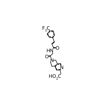 O=C(O)Cc1cc2c(cn1)CN(C(=O)CNC(=O)/C=C/c1ccc(C(F)(F)F)cc1)CC2